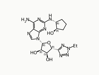 CCn1nnc([C@H]2O[C@@H](n3cnc4c(N)nc(N[C@@H]5CCC[C@H]5O)nc43)[C@H](O)[C@@H]2O)n1